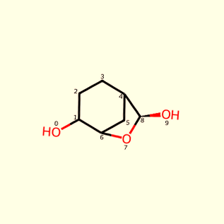 OC1CCC2CC1O[C@@H]2O